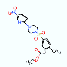 COC(=O)Cc1cc(S(=O)(=O)N2CCN(c3ccc([N+](=O)[O-])cn3)CC2)ccc1C